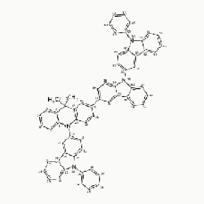 CC1(C)c2ccccc2N(c2ccc3c(c2)c2ccccc2n3-c2ccccc2)c2ccc(-c3ccc4c(c3)c3ccccc3n4-c3ccc4c(c3)c3ccccc3n4-c3ccccc3)cc21